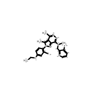 CCOc1ccc(-n2nc3c(N(C)Cc4ncccc4F)nnc(C)c3c2C)c(F)c1